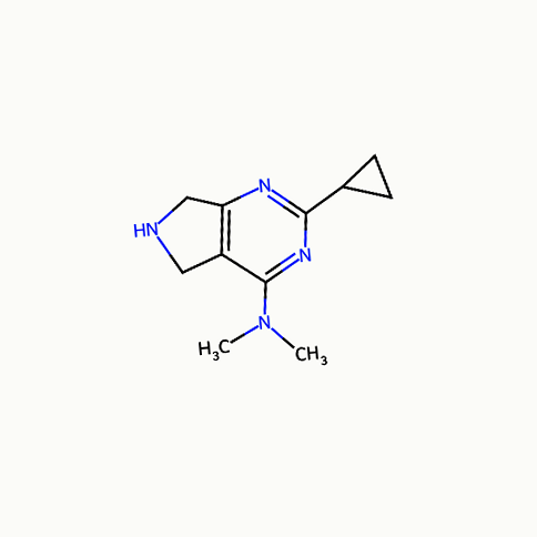 CN(C)c1nc(C2CC2)nc2c1CNC2